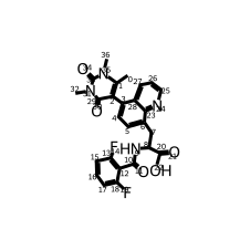 Cc1c(-c2ccc(CC(NC(=O)c3c(F)cccc3F)C(=O)O)c3ncccc23)c(=O)n(C)c(=O)n1C